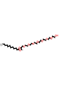 CCCCCCCCCCCC1OCC(COCCOCCOCCOCCOCCOCCOCCO)O1